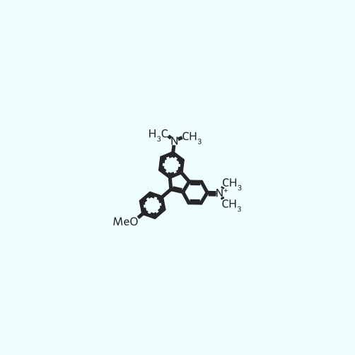 COc1ccc(C2=C3C=CC(=[N+](C)C)C=C3c3cc(N(C)C)ccc32)cc1